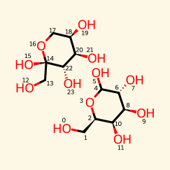 OC[C@H]1OC(O)[C@H](O)[C@@H](O)[C@H]1O.OC[C@]1(O)OC[C@@H](O)[C@@H](O)[C@@H]1O